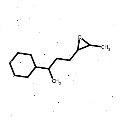 CC(CCC1OC1C)C1CCCCC1